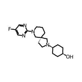 O[C@H]1CC[C@@H](N2CC[C@]3(CCCN(c4ncc(F)cn4)C3)C2)CC1